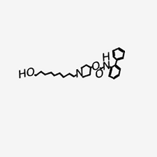 O=C(Nc1ccccc1-c1ccccc1)OC1CCN(CCCCCCCCCO)CC1